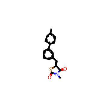 Cc1ccc(-c2cccc(/C=C3\SC(=O)N(C)C3=O)c2)cc1